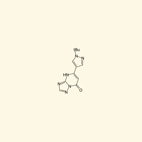 CC(C)(C)n1cc(-c2cc(=O)n3ncnc3[nH]2)cn1